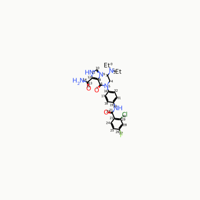 CCN(CC)CCN(C(=O)c1nc[nH]c1C(N)=O)c1ccc(NC(=O)c2ccc(F)cc2Cl)cc1